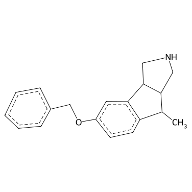 CC1c2ccc(OCc3ccccc3)cc2C2CNCC12